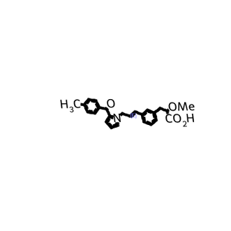 COC(Cc1cccc(/C=C/Cn2cccc2C(=O)c2ccc(C)cc2)c1)C(=O)O